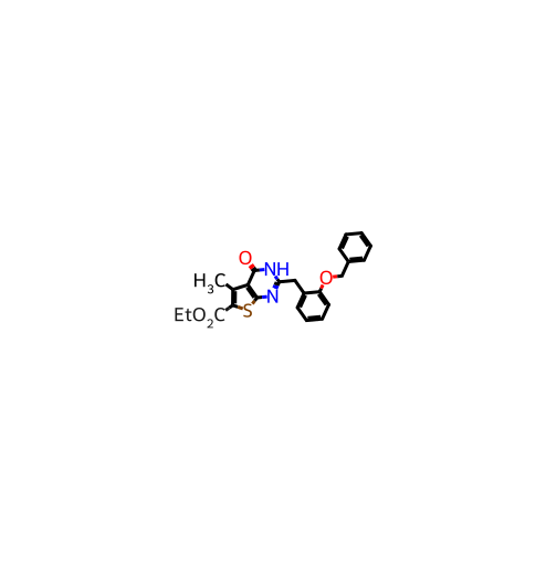 CCOC(=O)c1sc2nc(Cc3ccccc3OCc3ccccc3)[nH]c(=O)c2c1C